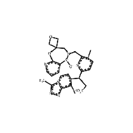 Cc1ccc(C(CC(=O)O)c2ccn3c(C(F)(F)F)nnc3c2C)nc1CN1CC2(COC2)Oc2ncccc2[S+]1[O-]